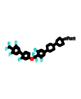 CCCCCC1CCC(C2CCC(c3cc(F)c(C(F)(F)Oc4ccc(-c5cc(F)c(C(F)F)c(F)c5)c(F)c4)c(F)c3)CC2)CC1